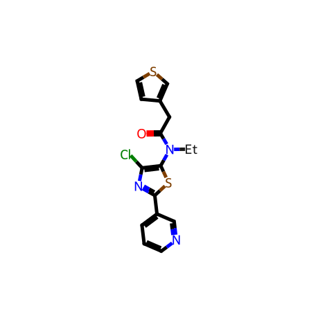 CCN(C(=O)Cc1ccsc1)c1sc(-c2cccnc2)nc1Cl